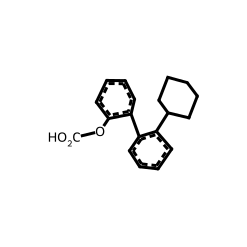 O=C(O)Oc1ccccc1-c1ccccc1C1CCCCC1